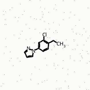 CCc1ccc(-n2cccn2)cc1Cl